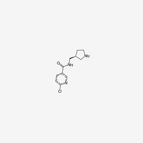 O=C(NC[C@H]1CCNC1)c1ccc(Cl)nc1